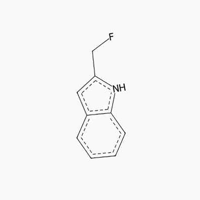 FCc1cc2ccccc2[nH]1